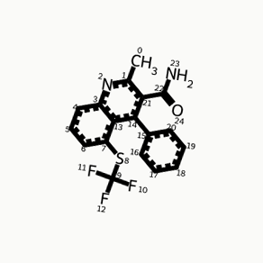 Cc1nc2cccc(SC(F)(F)F)c2c(-c2ccccc2)c1C(N)=O